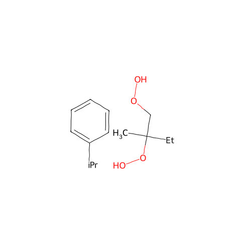 CC(C)c1ccccc1.CCC(C)(COO)OO